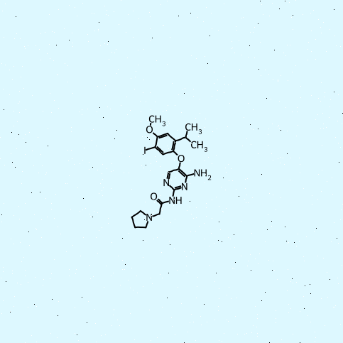 COc1cc(C(C)C)c(Oc2cnc(NC(=O)CN3CCCC3)nc2N)cc1I